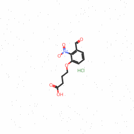 Cl.O=Cc1cccc(OCCCC(=O)O)c1[N+](=O)[O-]